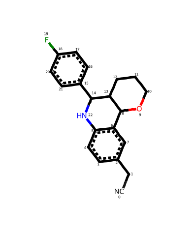 N#CCc1ccc2c(c1)C1OCCCC1C(c1ccc(F)cc1)N2